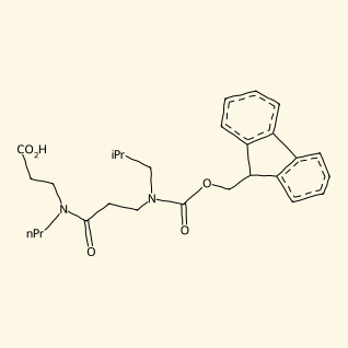 CCCN(CCC(=O)O)C(=O)CCN(CC(C)C)C(=O)OCC1c2ccccc2-c2ccccc21